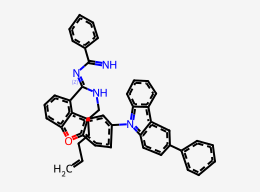 C=CCCCCN/C(=N\C(=N)c1ccccc1)c1cccc2oc3ccc(-n4c5ccccc5c5cc(-c6ccccc6)ccc54)cc3c12